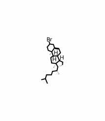 CC(C)CCC[C@@H](C)[C@H]1CC[C@H]2[C@@H]3CC=C4CC(Br)CC[C@]4(C)[C@H]3CC[C@]12C